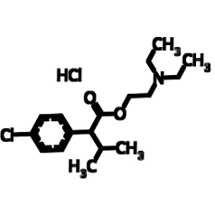 CCN(CC)CCOC(=O)C(c1ccc(Cl)cc1)C(C)C.Cl